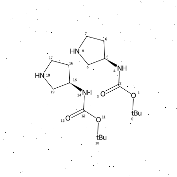 CC(C)(C)OC(=O)N[C@@H]1CCNC1.CC(C)(C)OC(=O)N[C@@H]1CCNC1